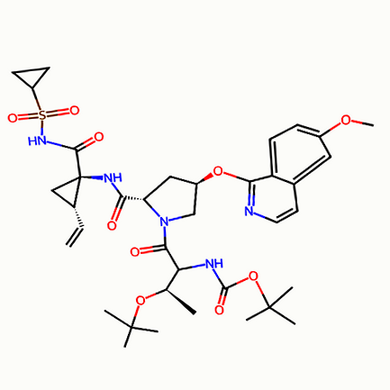 C=C[C@@H]1C[C@]1(NC(=O)[C@@H]1C[C@@H](Oc2nccc3cc(OC)ccc23)CN1C(=O)C(NC(=O)OC(C)(C)C)[C@@H](C)OC(C)(C)C)C(=O)NS(=O)(=O)C1CC1